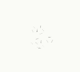 CCS(=O)(=O)Nc1cc(-c2cn(C)c(=O)c3[nH]ccc23)cc2c1nc(C)n2C(C)c1ccc(Cl)cc1